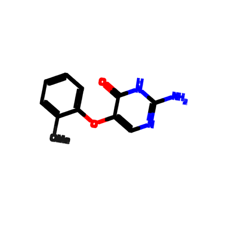 COc1ccccc1Oc1cnc(N)[nH]c1=O